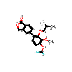 COc1c(OC(F)F)ccc(-c2ccc3c(c2)COC3=O)c1OCC(C)C